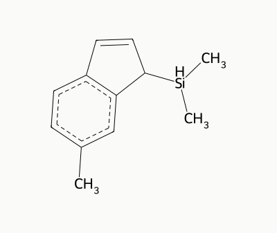 Cc1ccc2c(c1)C([SiH](C)C)C=C2